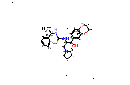 C[C@@H](NC(=O)N[C@H](CN1CCCC1)[C@H](O)c1ccc2c(c1)OCCO2)c1ccccc1